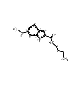 CCCCNC(=O)c1nc2ccc(OC)cc2[nH]1